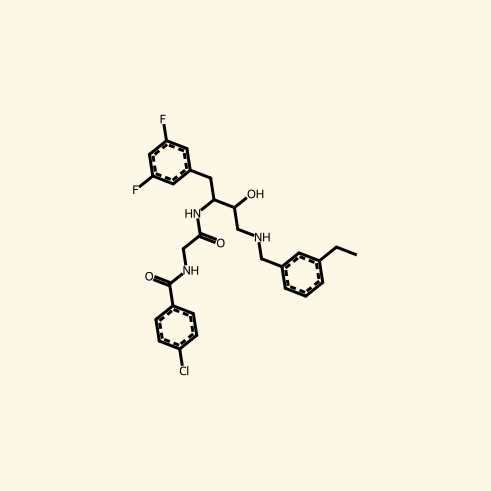 CCc1cccc(CNCC(O)C(Cc2cc(F)cc(F)c2)NC(=O)CNC(=O)c2ccc(Cl)cc2)c1